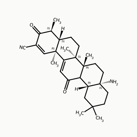 C[C@@H]1C(=O)C(C#N)=C[C@]2(C)C3=CC(=O)C4[C@H]5CC(C)(C)CC[C@]5(N)CC[C@@]4(C)[C@]3(C)CC[C@@H]12